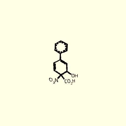 O=C(O)C1([N+](=O)[O-])C=CC(c2ccccc2)=CC1O